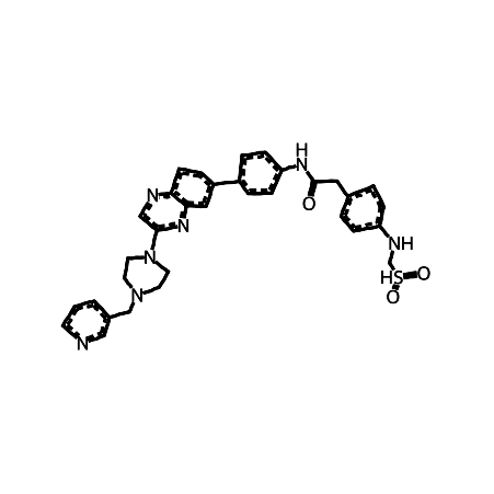 O=C(Cc1ccc(NC[SH](=O)=O)cc1)Nc1ccc(-c2ccc3ncc(N4CCN(Cc5cccnc5)CC4)nc3c2)cc1